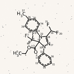 CCOC(=O)C1(C(F)(F)F)N(c2ccccc2)N=C(C(F)F)N1c1ccc(C)cc1